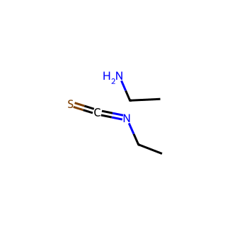 CCN.CCN=C=S